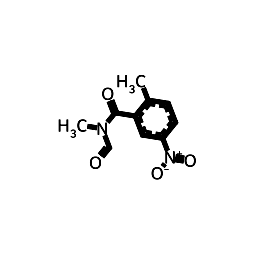 Cc1ccc([N+](=O)[O-])cc1C(=O)N(C)C=O